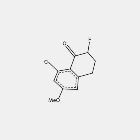 COc1cc(Cl)c2c(c1)CCC(F)C2=O